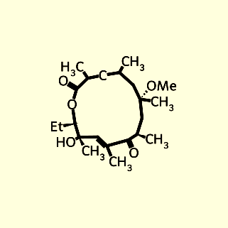 CC[C@H]1OC(=O)C(C)CC(C)C[C@](C)(OC)C[C@@H](C)C(=O)/C(C)=C/[C@]1(C)O